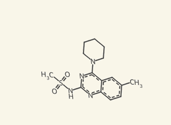 Cc1ccc2nc(NS(C)(=O)=O)nc(N3CCCCC3)c2c1